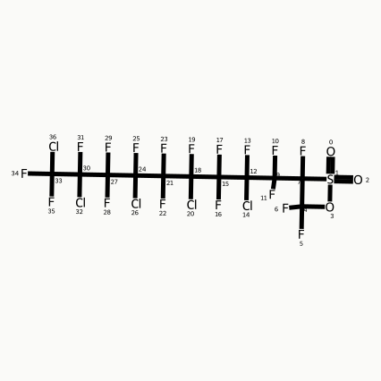 O=S1(=O)OC(F)(F)C1(F)C(F)(F)C(F)(Cl)C(F)(F)C(F)(Cl)C(F)(F)C(F)(Cl)C(F)(F)C(F)(Cl)C(F)(F)Cl